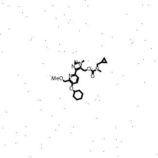 COCc1nc(-c2nnn(C)c2COC(=O)N(C)CC2CC2)ccc1OC1CCCCC1